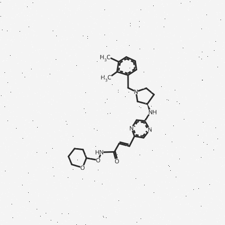 Cc1cccc(CN2CC[C@@H](Nc3cnc(C=CC(=O)NOC4CCCCO4)cn3)C2)c1C